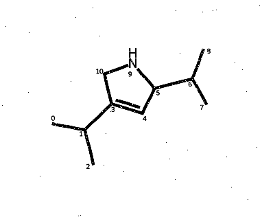 CC(C)C1=CC(C(C)C)NC1